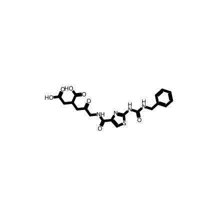 O=C(O)CC(CC(=O)CNC(=O)c1csc(NC(=O)NCc2ccccc2)n1)C(=O)O